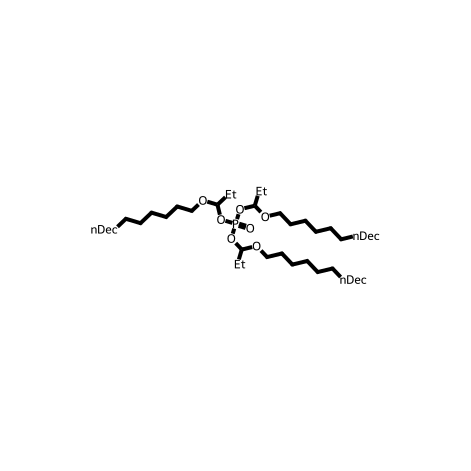 CCCCCCCCCCCCCCCCOC(CC)OP(=O)(OC(CC)OCCCCCCCCCCCCCCCC)OC(CC)OCCCCCCCCCCCCCCCC